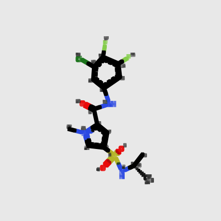 C[C@@H](NS(=O)(=O)c1cc(C(=O)Nc2cc(F)c(F)c(Cl)c2)n(C)c1)C(F)(F)F